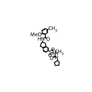 COc1ccc(C)cc1C(=O)NC1CCc2ccc(S(=O)(=O)N(C)C(=O)NC3CCCC3)cc2C1